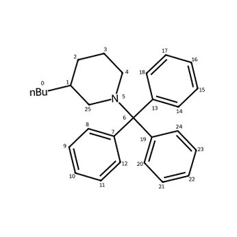 CCCCC1CCCN(C(c2ccccc2)(c2ccccc2)c2ccccc2)C1